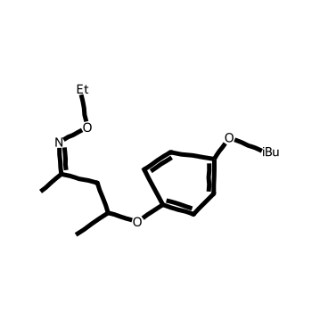 CCO/N=C(/C)CC(C)Oc1ccc(OC(C)CC)cc1